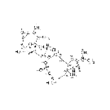 CCC(C)C(C)C1OC1CC(C)(C)/C=C/C=C(\C)C1OC(=O)CC(C)CCC(C)(C)C(OC(=S)N(C)C)/C=C/C1C